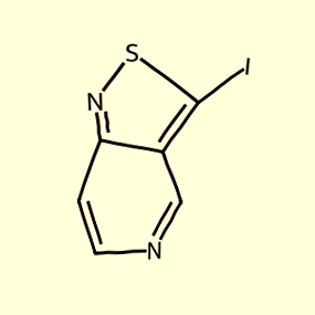 Ic1snc2ccncc12